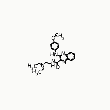 CCN(CC)CCNC(=O)c1nc2ccccc2nc1Nc1ccc(OC)cc1